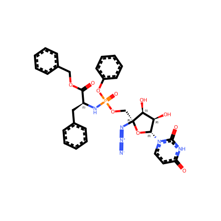 [N-]=[N+]=N[C@]1(COP(=O)(N[C@@H](Cc2ccccc2)C(=O)OCc2ccccc2)Oc2ccccc2)O[C@@H](n2ccc(=O)[nH]c2=O)[C@H](O)[C@@H]1O